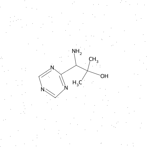 CC(C)(O)C(N)c1ncncn1